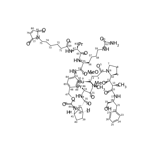 CC[C@H](C)[C@@H]([C@@H](CC(=O)N1CCC[C@H]1[C@H](OC)[C@@H](C)C(=O)N[C@H](CO)Cc1ccccc1)OC)N(C)C(=O)[C@@H](NC(=O)[C@@H]1[C@H]2CC[C@H](C2)N1C(=O)OCc1ccc(NC(=O)[C@H](CCCCNC(N)=O)NC(=O)[C@@H](NC(=O)CCCCCN2C(=O)C=CC2=O)C(C)C)cc1)C(C)C